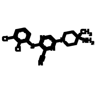 CC1(N)CCN(c2cnc(Sc3cccc(Cl)c3Cl)c(C#N)n2)CC1